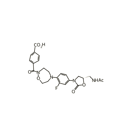 CC(=O)NC[C@H]1CN(c2ccc(N3CCON(C(=O)c4ccc(C(=O)O)cc4)CC3)c(F)c2)C(=O)O1